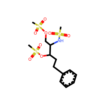 CS(=O)(=O)NC(COS(C)(=O)=O)C(CCc1ccccc1)OS(C)(=O)=O